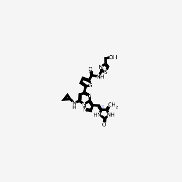 C=c1[nH]c(=O)[nH]/c1=C\c1cnn2c(NC3CC3)cc(-c3ccc(C(=O)Nc4nc(CO)cs4)s3)nc12